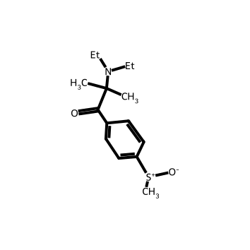 CCN(CC)C(C)(C)C(=O)c1ccc([S+](C)[O-])cc1